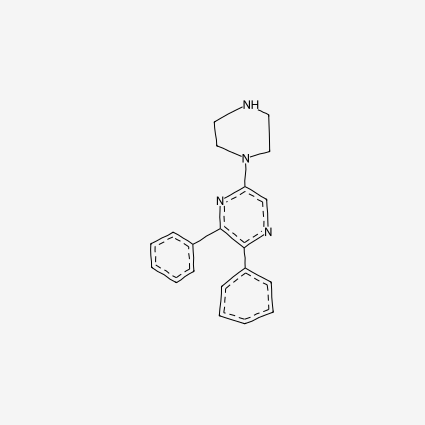 c1ccc(-c2ncc(N3CCNCC3)nc2-c2ccccc2)cc1